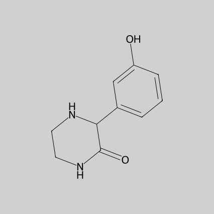 O=C1NCCNC1c1cccc(O)c1